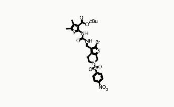 Cc1sc(NC(=O)NCc2c(Br)sc3c2CCN(S(=O)(=O)c2ccc([N+](=O)[O-])cc2)C3)c(C(=O)OC(C)(C)C)c1C